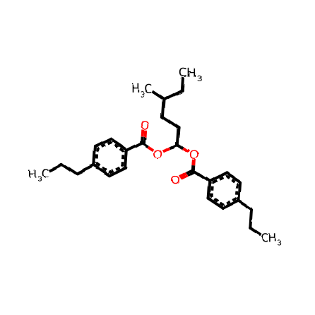 CCCc1ccc(C(=O)OC(CCC(C)CC)OC(=O)c2ccc(CCC)cc2)cc1